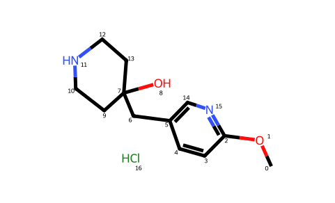 COc1ccc(CC2(O)CCNCC2)cn1.Cl